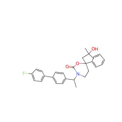 CC(c1ccc(-c2ccc(F)cc2)cc1)N1CCC(CC(C)(C)O)(c2ccccc2)OC1=O